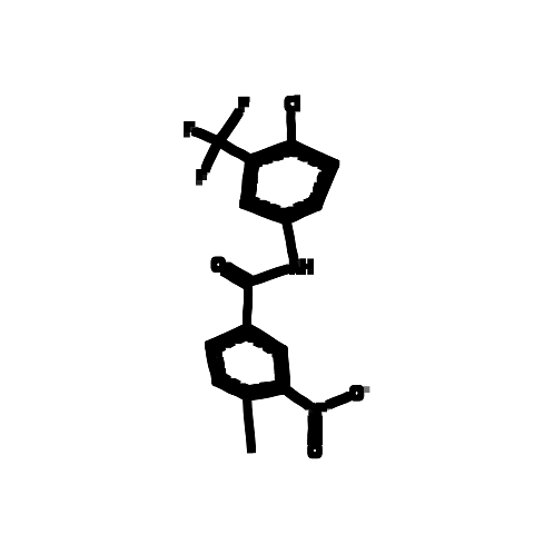 Cc1ccc(C(=O)Nc2ccc(Cl)c(C(F)(F)F)c2)cc1[N+](=O)[O-]